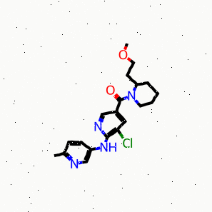 COCCC1CCCCN1C(=O)c1cnc(Nc2ccc(C)nc2)c(Cl)c1